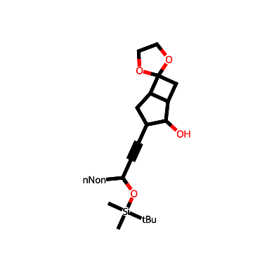 CCCCCCCCCC(C#CC1CC2C(CC23OCCO3)C1O)O[Si](C)(C)C(C)(C)C